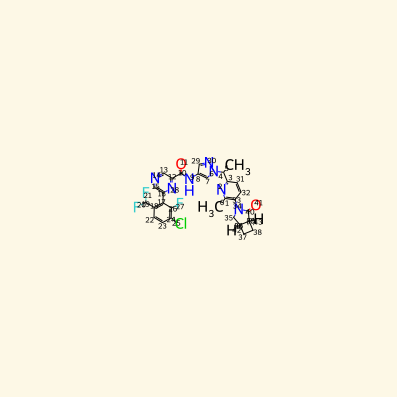 Cc1nc(C(C)n2cc(NC(=O)c3cncc(-c4c(C(F)F)ccc(Cl)c4F)n3)cn2)ccc1N1C[C@H]2CC[C@H]2C1=O